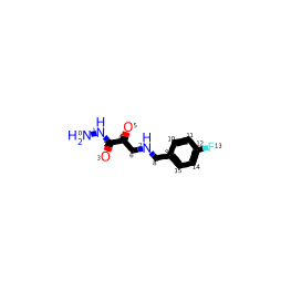 NNC(=O)C(=O)CNCc1ccc(F)cc1